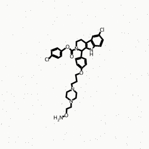 NOCCN1CCN(CCCOc2ccc(C3c4[nH]c5ccc(Cl)cc5c4CCN3C(=O)Oc3ccc(Cl)cc3)cc2)CC1